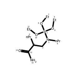 CCCC(CN(CCC)[Si](OCC)(OCC)OCC)C(N)=O